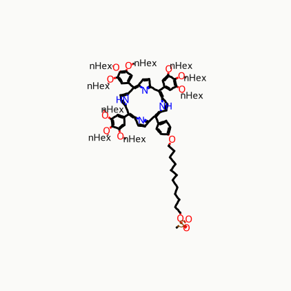 CCCCCCOc1cc(-c2c3nc(c(-c4cc(OCCCCCC)c(OCCCCCC)c(OCCCCCC)c4)c4ccc([nH]4)c(-c4cc(OCCCCCC)c(OCCCCCC)c(OCCCCCC)c4)c4nc(c(-c5ccc(OCCCCCCCCCCCCOS(C)(=O)=O)cc5)c5ccc2[nH]5)C=C4)C=C3)cc(OCCCCCC)c1OCCCCCC